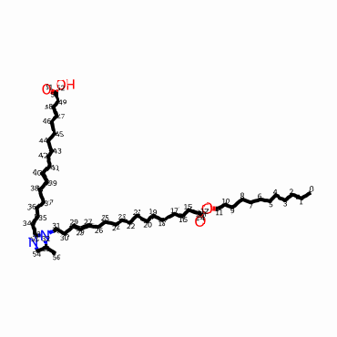 CCCCCCCCCCCCOC(=O)CCCCCCCCCCCCCCCCCN1C(CCCCCCCCCCCCCCCCC(=O)O)=NCC1C